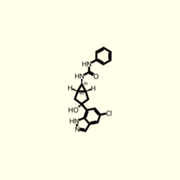 O=C(Nc1ccccc1)N[C@H]1[C@@H]2C[C@](O)(c3cc(Cl)cc4cn[nH]c34)C[C@@H]21